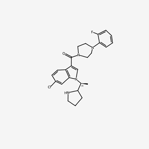 C[C@@H](C1CCCN1)n1cc(C(=O)N2CCN(c3ccccc3F)CC2)c2ccc(Cl)cc21